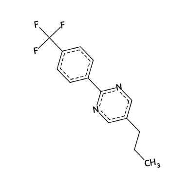 CCCc1cnc(-c2ccc(C(F)(F)F)cc2)nc1